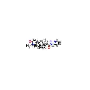 CN1C(=O)C=C[C@]2(C)[C@H]3CC[C@]4(C)[C@@H](CC(=O)NCc5ccccn5)CC[C@H]4[C@@H]3CC[C@@H]12